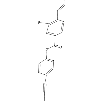 CC#Cc1ccc(OC(=O)c2ccc(/C=C/C(=O)O)c(F)c2)cc1